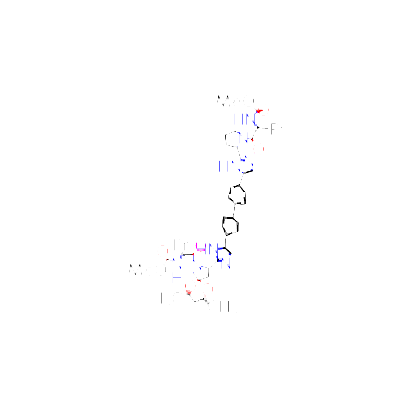 COC(=O)N[C@H](C(=O)N1CCCC1c1ncc(-c2ccc(-c3ccc(-c4cnc(C5CC6(CN5C(=O)[C@@H](NC(=O)OC)C(C)C)O[C@@H](C)C[C@H](C)O6)[nH]4)cc3)cc2)[nH]1)C(C)C